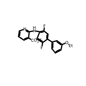 CCOc1cccc(-c2cc(F)c(Nc3ncccc3C(=O)O)cc2F)c1